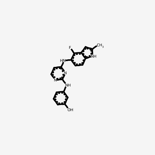 Cc1cc2c(F)c(Nc3ccnc(Nc4cccc(O)c4)n3)ccc2[nH]1